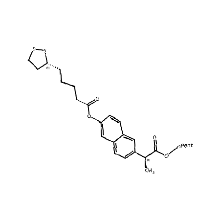 CCCCCOC(=O)[C@@H](C)c1ccc2cc(OC(=O)CCCC[C@@H]3CCSS3)ccc2c1